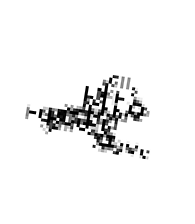 C=CCNCC(=O)N1[C@@H](NC(=O)NCc2ccccc2)CN(Cc2ccc(OC)cc2F)C(=O)[C@@H]1Cc1ccc(OP(=O)(O)O)cc1